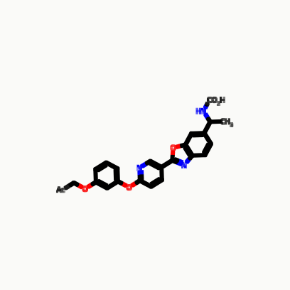 CC(=O)COc1cccc(Oc2ccc(-c3nc4ccc(C(C)NC(=O)O)cc4o3)cn2)c1